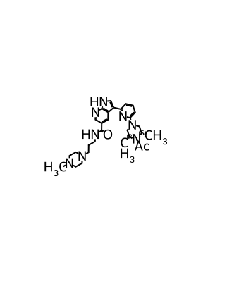 CC(=O)N1[C@H](C)CN(c2cccc(-c3c[nH]c4ncc(C(=O)NCCCN5CCN(C)CC5)cc34)n2)C[C@@H]1C